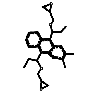 CCC(OCC1CO1)c1c2ccccc2c(C(CC)OCC2CO2)c2cc(C)c(C)cc12